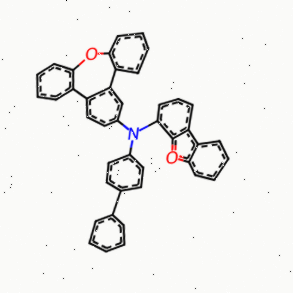 c1ccc(-c2ccc(N(c3ccc4c(c3)-c3ccccc3Oc3ccccc3-4)c3cccc4c3oc3ccccc34)cc2)cc1